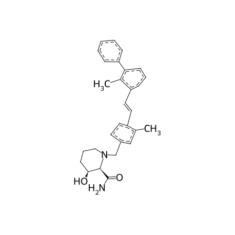 Cc1cc(CN2CCC[C@H](O)[C@@H]2C(N)=O)ccc1/C=C/c1cccc(-c2ccccc2)c1C